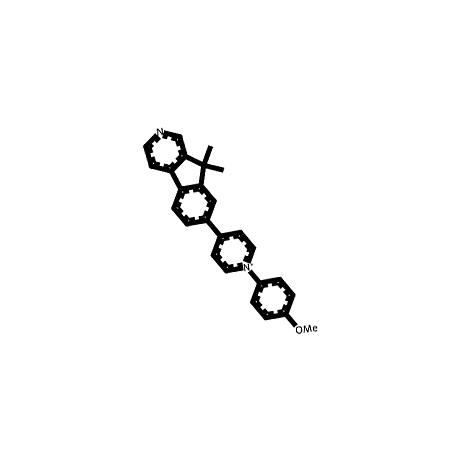 COc1ccc(-[n+]2ccc(-c3ccc4c(c3)C(C)(C)c3cnccc3-4)cc2)cc1